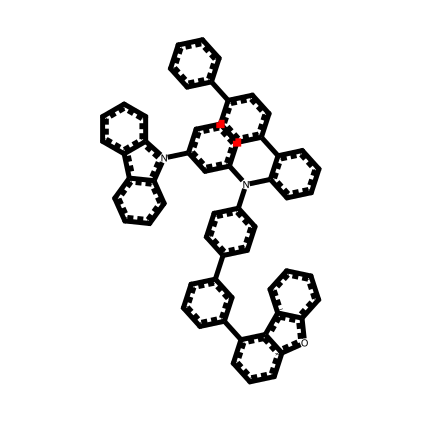 c1ccc(-c2ccc(-c3ccccc3N(c3ccc(-c4cccc(-c5cccc6oc7ccccc7c56)c4)cc3)c3cccc(-n4c5ccccc5c5ccccc54)c3)cc2)cc1